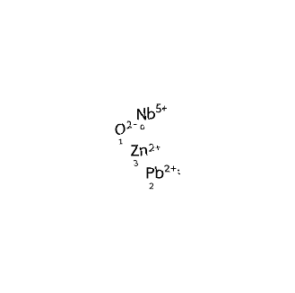 [Nb+5].[O-2].[Pb+2].[Zn+2]